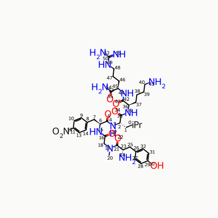 CC(C)C[C@H](NC(=O)[C@H](Cc1ccc([N+](=O)[O-])cc1)NC(=O)CN(C)C(=O)[C@@H](N)Cc1ccc(O)cc1)C(=O)N[C@H](CCCCN)C(=O)N[C@H](CCCNC(=N)N)C(N)=O